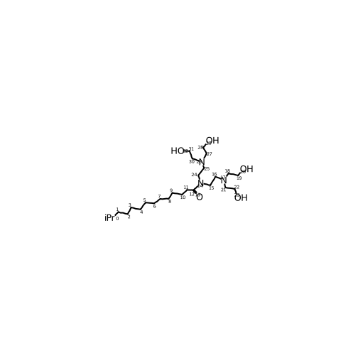 CC(C)CCCCCCCCCCCC(=O)N(CCN(CCO)CCO)CCN(CCO)CCO